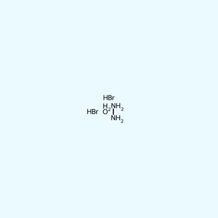 Br.Br.NN.O